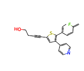 C=C(F)/C=C\C(=C/C)c1sc(C#CCCO)cc1-c1ccncc1